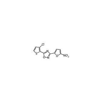 O=[N+]([O-])c1ccc(-c2noc(-c3sccc3Cl)n2)o1